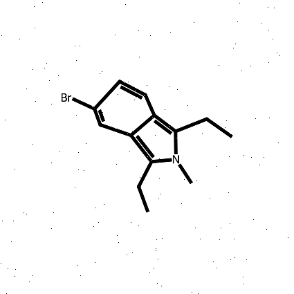 CCc1c2ccc(Br)cc2c(CC)n1C